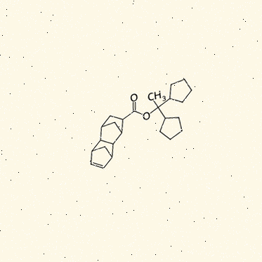 CC(OC(=O)C1CC2CC1C1C3C=CC(C3)C21)(C1CCCC1)C1CCCC1